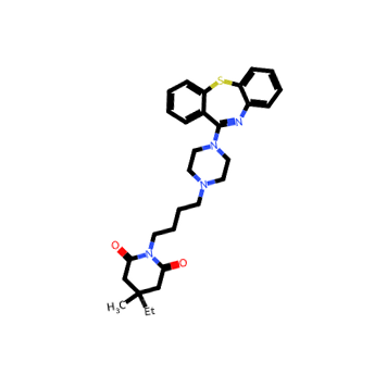 CCC1(C)CC(=O)N(CCCCN2CCN(C3=Nc4ccccc4Sc4ccccc43)CC2)C(=O)C1